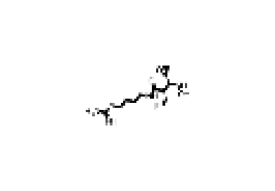 CC(C)C[C@H](C(=O)NCCCCNC(=N)N)C(NO)[C@@H]1CO1